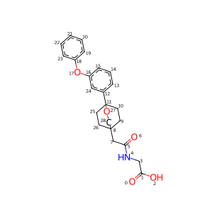 O=C(O)CNC(=O)CC12CCC(c3cccc(Oc4ccccc4)c3)(CC1)OC2